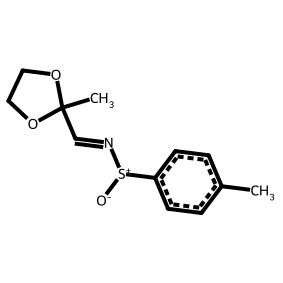 Cc1ccc([S+]([O-])N=CC2(C)OCCO2)cc1